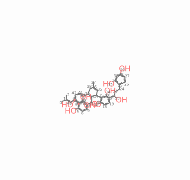 CC(C)=CCc1c(O)ccc(C(=O)C2C(c3c(O)ccc(C(O)CCc4ccc(O)cc4O)c3O)C=C(C)CC2c2ccc(O)cc2O)c1O